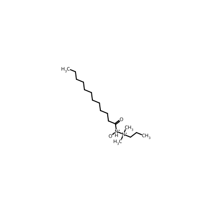 CCCCCCCCCCCC(=O)[NH+]([O-])[N+](C)(C)CCC